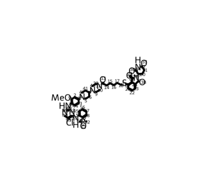 COc1cc(N2CCC(N3CCN(C(=O)CCCCCSc4cccc5c4C(=O)N(C4CCC(=O)NC4=O)C5=O)CC3)CC2)ccc1Nc1ncc(Cl)c(Nc2ccccc2P(C)(C)=O)n1